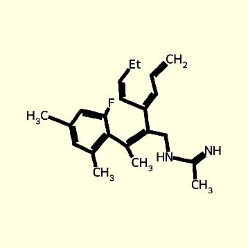 C=C/C=C(\C=C/CC)C(/CNC(C)=N)=C(/C)c1c(C)cc(C)cc1F